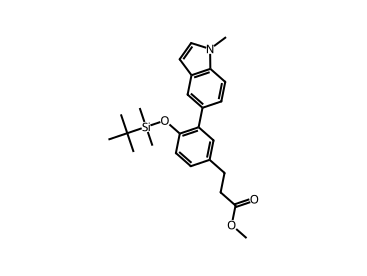 COC(=O)CCc1ccc(O[Si](C)(C)C(C)(C)C)c(-c2ccc3c(ccn3C)c2)c1